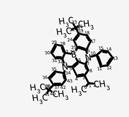 CC(C)c1cc2c3c(c1)N(c1ccccc1)c1ccc(C(C)(C)C)cc1B3c1ccccc1N2c1ccc(C(C)(C)C)cc1